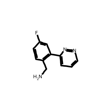 NCc1ccc(F)cc1-c1cccnn1